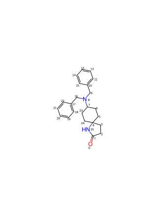 O=C1CCC2(CCC(N(Cc3ccccc3)Cc3ccccc3)CC2)N1